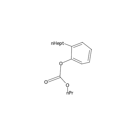 CCCCCCCc1ccccc1OC(=O)OCCC